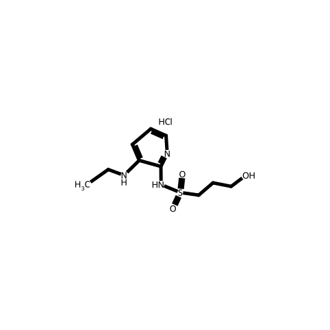 CCNc1cccnc1NS(=O)(=O)CCCO.Cl